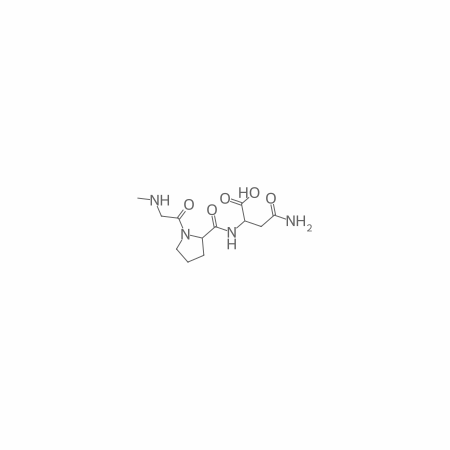 CNCC(=O)N1CCCC1C(=O)NC(CC(N)=O)C(=O)O